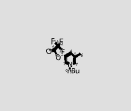 CCCC[n+]1cccc(C)c1.O=C([O-])C(F)(F)F